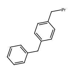 CC(C)Cc1ccc(Cc2c[c]ccc2)cc1